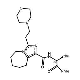 CNC(=O)[C@@H](NC(=O)c1nc(CCN2CCOCC2)n2c1CCCCC2)C(C)(C)C